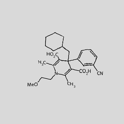 COCCN1C(C)=C(C(=O)O)C(CC2CCCCC2)(c2cccc(C#N)c2)C(C(=O)O)=C1C